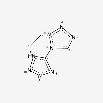 CC.c1nnnn1-c1nnn[nH]1